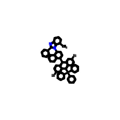 CCc1ccc2c([Si](c3ccccc3)(c3ccccc3)c3ccccc3)c3cc(CC)ccc3c(-c3ccc(-n4c(-c5ccccc5)nc5cccc(C)c54)c4ccccc34)c2c1